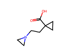 O=C(O)C1(CCN2CC2)CC1